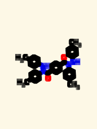 Cc1ccc(NN(C(=O)c2ccc(C(=O)N(Nc3ccc(C)cc3)c3ccc(C)cc3)cc2)c2ccc(C)cc2)cc1